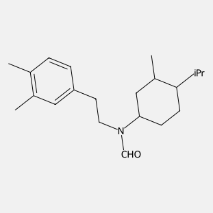 Cc1ccc(CCN(C=O)C2CCC(C(C)C)C(C)C2)cc1C